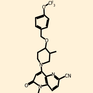 CC1CN(c2cc(=O)n(C)c3ccc(C#N)nc23)CCC1OCc1ccc(OC(F)(F)F)cc1